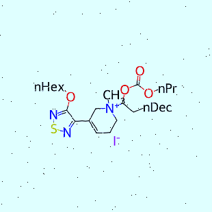 CCCCCCCCCCCC(OC(=O)OCCC)[N+]1(C)CCC=C(c2nsnc2OCCCCCC)C1.[I-]